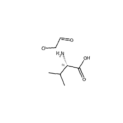 CC(C)[C@H](N)C(=O)O.O=CCCl